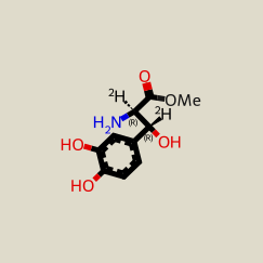 [2H][C@](N)(C(=O)OC)[C@]([2H])(O)c1ccc(O)c(O)c1